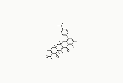 CC(=O)C1=C(C)CC2(C)CC3(C)Cc4c(-c5ccc(C(C)C)cc5)cc(C)c(C)c4C(=O)C3=C(C)C2(C)C1=O